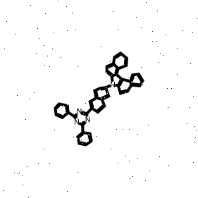 c1ccc(-c2nc(-c3ccccc3)nc(-c3ccc4cc(-n5c6ccc7ccccc7c6c6c7ccccc7ccc65)ccc4c3)n2)cc1